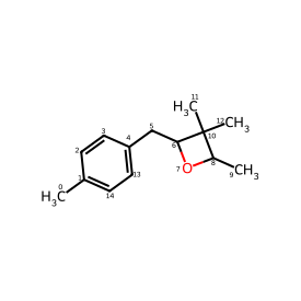 Cc1ccc(CC2OC(C)C2(C)C)cc1